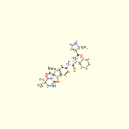 CCC1(C)CNC(=O)N(C2(C(=O)NC)Cc3ccc(NC(=O)[C@@H](NC(=O)c4ccnn4C)C4CCCCC4)cc3C2)C1